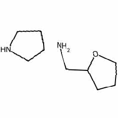 C1CCNC1.NCC1CCCO1